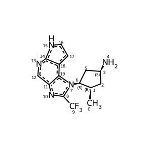 C[C@@H]1C[C@H](N)C[C@@H]1n1c(C(F)(F)F)nc2cnc3[nH]ccc3c21